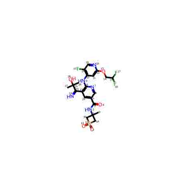 CC1(NC(=O)c2cnc(Nc3cc(OCC(F)F)ncc3F)c(C(=N)C(C)(C)O)c2)CS(=O)(=O)C1